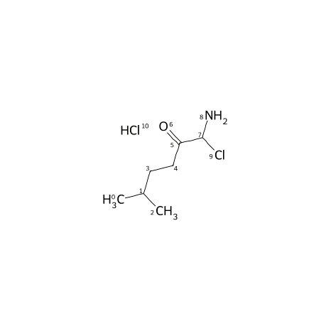 CC(C)CCC(=O)C(N)Cl.Cl